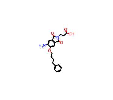 Nc1cc2c(cc1OCCCCc1ccccc1)C(=O)N(CCC(=O)O)C2=O